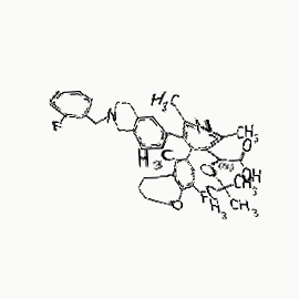 Cc1nc(C)c([C@H](OC(C)(C)C)C(=O)O)c(-c2cc(F)c3c(c2C)CCCO3)c1-c1ccc2c(c1)CCN(Cc1ccccc1F)C2